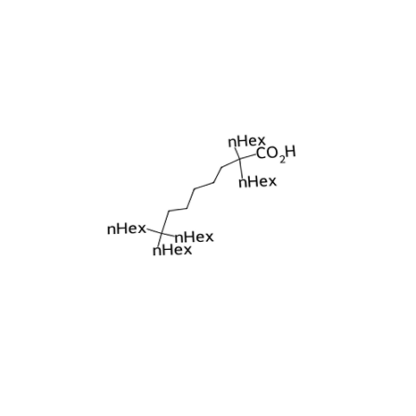 CCCCCCC(CCCCCC)(CCCCCC)CCCCCC(CCCCCC)(CCCCCC)C(=O)O